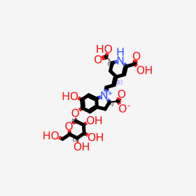 O=C(O)C1=C/C(=C/C=[N+]2/c3cc(O)c(O[C@H]4OC(CO)[C@@H](O)C(O)C4O)cc3C[C@@H]2C(=O)[O-])C[C@H](C(=O)O)N1